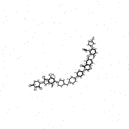 Cc1cc(N2CCC(CN3CCN(c4ccc(-n5cnc6ccc(Oc7c(F)ccc(N8CC[C@@H](F)C8)c7C#N)cc6c5=O)cc4)CC3)CC2)c(F)c2c1C(=O)N(C1CCC(=O)NC1=O)C2